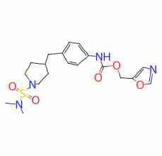 CN(C)S(=O)(=O)N1CCC(Cc2ccc(NC(=O)OCc3cnco3)cc2)CC1